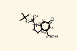 CC(C)(C)OC(=O)N1CCc2c(CO)cc(Cl)cc21